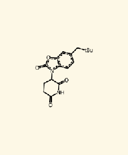 CC(C)(C)Cc1ccc2c(c1)oc(=O)n2C1CCC(=O)NC1=O